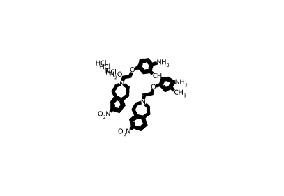 Cc1cc(OCCN2CCc3ccc([N+](=O)[O-])cc3CC2)ccc1N.Cc1cc(OCCN2CCc3ccc([N+](=O)[O-])cc3CC2)ccc1N.Cl.Cl.Cl.Cl.O